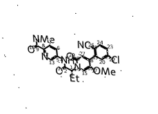 CCC(C(=O)Nc1ccc(C(=O)NC)nc1)n1cc(OC)c(-c2cc(Cl)ccc2C#N)cc1=O